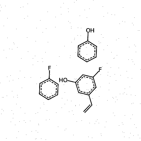 C=Cc1cc(O)cc(F)c1.Fc1ccccc1.Oc1ccccc1